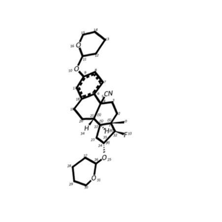 C[C@]12CCC3(C#N)c4ccc(OC5CCCCO5)cc4CC[C@H]3[C@@H]1C[C@@H](OC1CCCCO1)[C@@H]2F